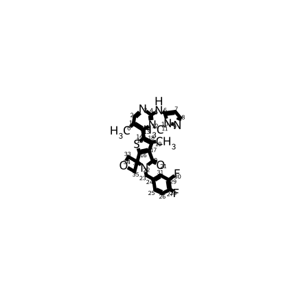 Cc1cnc(Nc2ccnn2C)nc1-c1sc2c(c1C)C(=O)N(Cc1ccc(F)c(F)c1)C21COC1